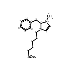 CCCCCCCCCCCCCCCN1C=CN(C)C1Cc1ccccc1